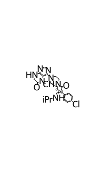 CC(C)NC[C@@H](C(=O)N1CCN(c2ncnc3c2N(C)C(=O)CN3)CC1)c1ccc(Cl)cc1